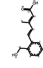 CC(/C=C/c1ccccc1CO)=C\C(=O)O